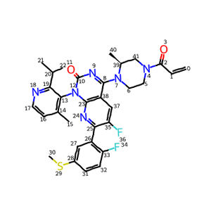 C=CC(=O)N1CCN(c2nc(=O)n(-c3c(C)ccnc3C(C)C)c3nc(-c4cc(SC)ccc4F)c(F)cc23)[C@@H](C)C1